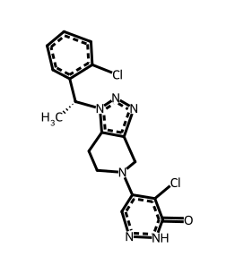 C[C@H](c1ccccc1Cl)n1nnc2c1CCN(c1cn[nH]c(=O)c1Cl)C2